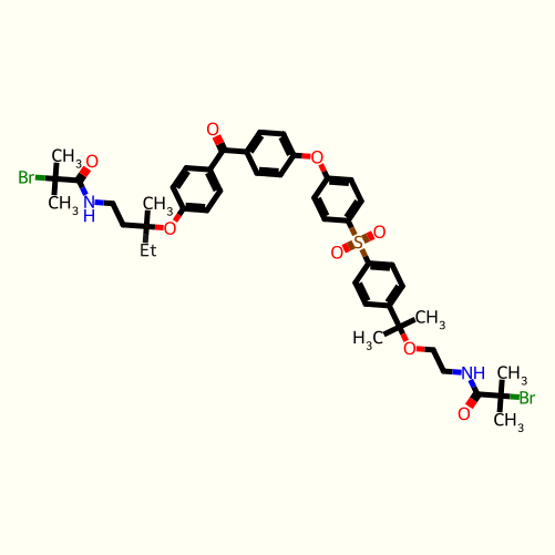 CCC(C)(CCNC(=O)C(C)(C)Br)Oc1ccc(C(=O)c2ccc(Oc3ccc(S(=O)(=O)c4ccc(C(C)(C)OCCNC(=O)C(C)(C)Br)cc4)cc3)cc2)cc1